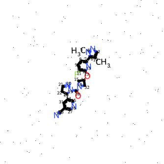 Cc1cnn(C)c1-c1ccc(F)c(OC2CN(C(=O)N3N=CC[C@H]3c3cncc(C#N)c3)C2)n1